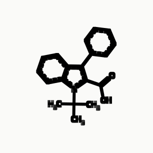 CC(C)(C)n1c(C(=O)O)c(-c2ccccc2)c2ccccc21